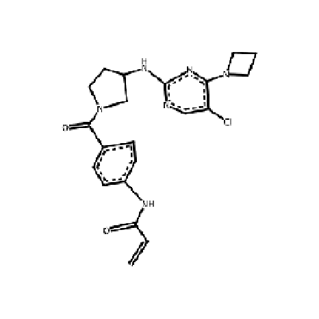 C=CC(=O)Nc1ccc(C(=O)N2CCC(Nc3ncc(Cl)c(N4CCC4)n3)C2)cc1